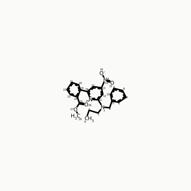 CCCN(Cc1ccccc1)c1cc([N+](=O)[O-])cc(-c2ccccc2C(=O)OC)n1